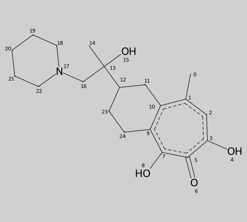 Cc1cc(O)c(=O)c(O)c2c1CC(C(C)(O)CN1CCCCC1)CC2